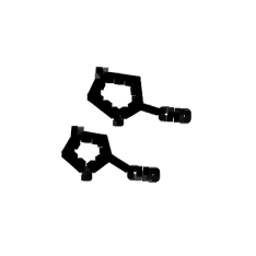 O=Cc1cncs1.O=Cc1cncs1